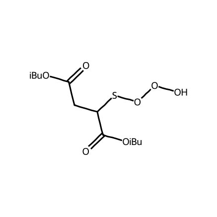 CC(C)COC(=O)CC(SOOO)C(=O)OCC(C)C